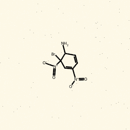 NC1C=CC([N+](=O)[O-])=CC1(Br)[N+](=O)[O-]